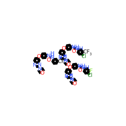 O=C(Nc1ccc(Oc2ccc3ncc(N4CCOCC4)nc3c2)cc1)Nc1ccc(Cl)c(C(F)(F)F)c1.O=C(Nc1ccc(Oc2ccc3ncc(N4CCOCC4)nc3c2)cc1)Nc1ccc(Cl)c(F)c1.O=C(Nc1ccc(Oc2ccc3ncc(N4CCOCC4)nc3c2)cc1)Nc1cccc(C(F)(F)F)c1